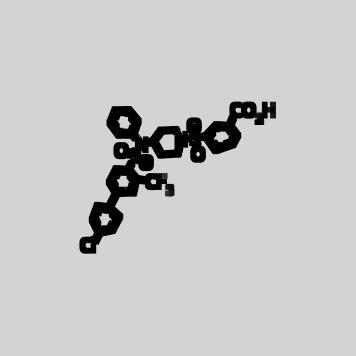 O=C(O)c1cccc(S(=O)(=O)N2CCC(N(c3ccccc3)S(=O)(=O)c3ccc(-c4ccc(Cl)cc4)cc3C(F)(F)F)CC2)c1